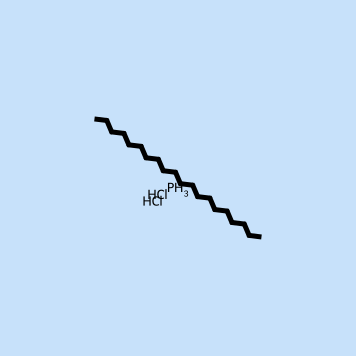 CCCCCCCCCCCCCCCCCCCC.Cl.Cl.P